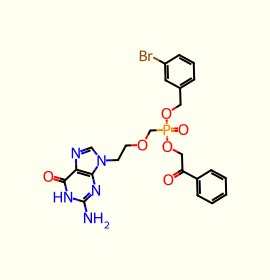 Nc1nc2c(ncn2CCOCP(=O)(OCC(=O)c2ccccc2)OCc2cccc(Br)c2)c(=O)[nH]1